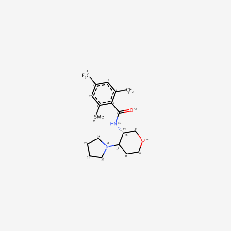 CSc1cc(C(F)(F)F)cc(C(F)(F)F)c1C(=O)N[C@@H]1COCCC1N1CCCC1